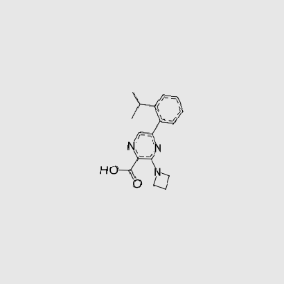 CC(C)c1ccccc1-c1cnc(C(=O)O)c(N2CCC2)n1